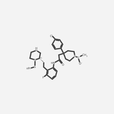 CCCSN1CCNC[C@@H]1CCc1c(F)cccc1NC(=O)CC1(c2ccc(Cl)cc2)CCN([S+](C)[O-])CC1